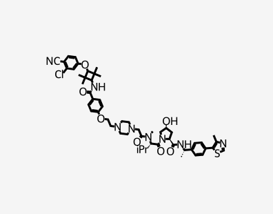 Cc1ncsc1-c1ccc([C@H](C)NC(=O)[C@@H]2C[C@@H](O)CN2C(=O)[C@H](C(C)C)N(C)C(=O)CN2CCN(CCOc3ccc(C(=O)NC4C(C)(C)C(Oc5ccc(C#N)c(Cl)c5)C4(C)C)cc3)CC2)cc1